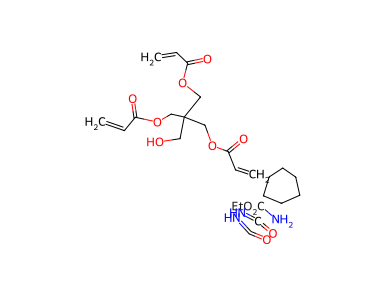 C1CCCCC1.C=CC(=O)OCC(CO)(COC(=O)C=C)COC(=O)C=C.CCOC(N)=O.N=C=O.N=C=O